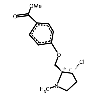 COC(=O)c1ccc(OC[C@H]2[C@H](Cl)CCN2C)cc1